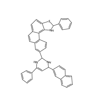 C1=C(c2ccccc2)NC(c2ccc3c(ccc4ccc5c(c43)NC(c3ccccc3)S5)c2)NC1c1ccc2ccccc2c1